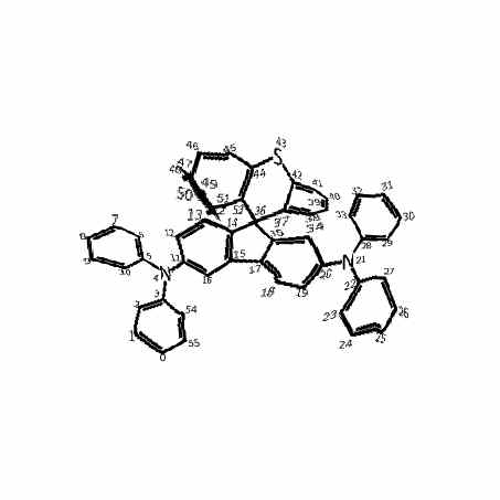 c1ccc(N(c2ccccc2)c2ccc3c(c2)-c2ccc(N(c4ccccc4)c4ccccc4)cc2C32c3ccccc3Sc3ccc4ccccc4c32)cc1